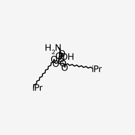 CC(C)CCCCCCCCCCCCCC(=O)OC(COC(=O)CCCCCCCCCCCC(C)C)COP(=O)(O)OCCN